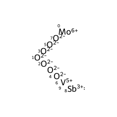 [Mo+6].[O-2].[O-2].[O-2].[O-2].[O-2].[O-2].[O-2].[Sb+3].[V+5]